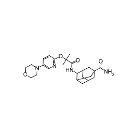 CC(C)(Oc1ccc(N2CCOCC2)cn1)C(=O)NC1C2CC3CC1CC(C(N)=O)(C3)C2